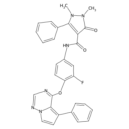 Cn1c(-c2ccccc2)c(C(=O)Nc2ccc(Oc3ncnn4ccc(-c5ccccc5)c34)c(F)c2)c(=O)n1C